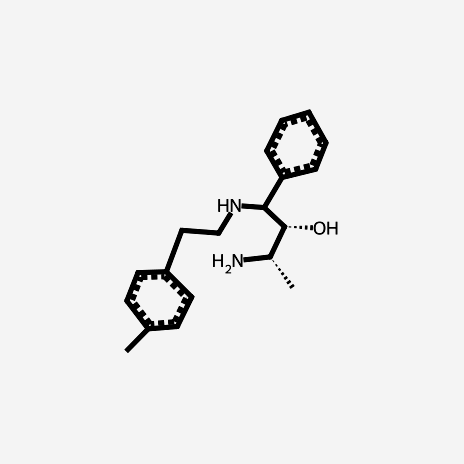 Cc1ccc(CCNC(c2ccccc2)[C@H](O)[C@H](C)N)cc1